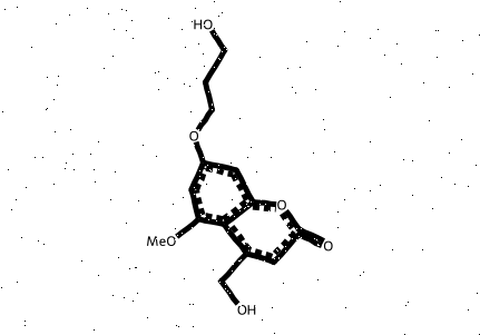 COc1cc(OCCCO)cc2oc(=O)cc(CO)c12